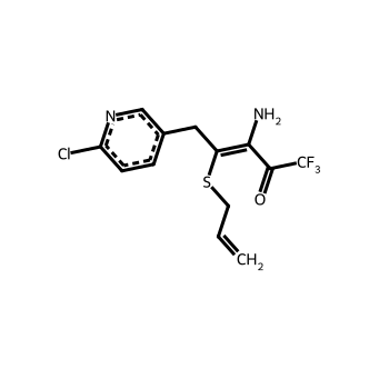 C=CCSC(Cc1ccc(Cl)nc1)=C(N)C(=O)C(F)(F)F